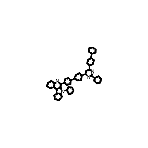 c1ccc(-c2ccc(-c3cc(-c4ccc(-c5ccc(-c6nc7ccccc7c7c8ccccc8n(-c8ccccc8)c67)cc5)cc4)nc(-c4ccccc4)n3)cc2)cc1